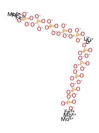 O=P([O-])([O-])[O-].O=P([O-])([O-])[O-].O=P([O-])([O-])[O-].O=P([O-])([O-])[O-].O=P([O-])([O-])[O-].O=P([O-])([O-])[O-].O=P([O-])([O-])[O-].O=P([O-])([O-])[O-].O=P([O-])([O-])[O-].O=P([O-])([O-])[O-].[Fe+3].[Fe+3].[Fe+3].[Li+].[Li+].[Li+].[Mo+6].[Mo+6].[Mo+6]